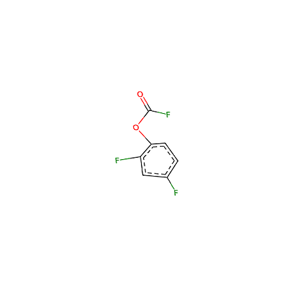 O=C(F)Oc1ccc(F)cc1F